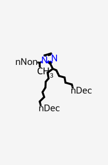 CCCCCCCCCCCCCCCCCC(CCCCCCCCCCCCCCC)c1nccn1C(C)CCCCCCCCC